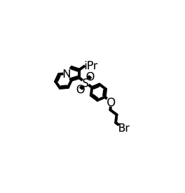 CC(C)c1cn2ccccc2c1S(=O)(=O)c1ccc(OCCCBr)cc1